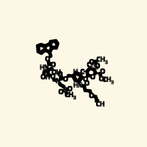 C#CCOCCC(=O)Nc1cc(COC(=O)N(CCS(C)(=O)=O)COCC(CO)(CO)NC(=O)OCC2c3ccccc3-c3ccccc32)ccc1O[C@@H]1O[C@H](C(=O)OC)[C@@H](OC(C)=O)[C@H](C)[C@H]1C